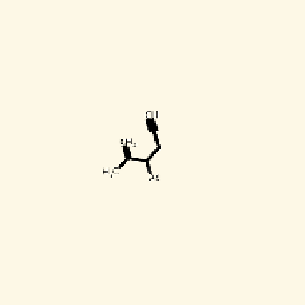 C#CCC(C(=C)C)C(C)=O